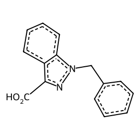 O=C(O)c1nn(Cc2ccccc2)c2ccccc12